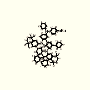 CCCCc1ccc(N(c2ccccc2)c2ccc3c(c2)-c2cc(-c4ccccc4)cc4c2B(c2cccc5c2N4c2cc4c(cc2C5(c2ccccc2)c2ccccc2)C(C)(C)CCC4(C)C)N3c2ccc3c(c2)C(C)(C)CCC3(C)C)cc1